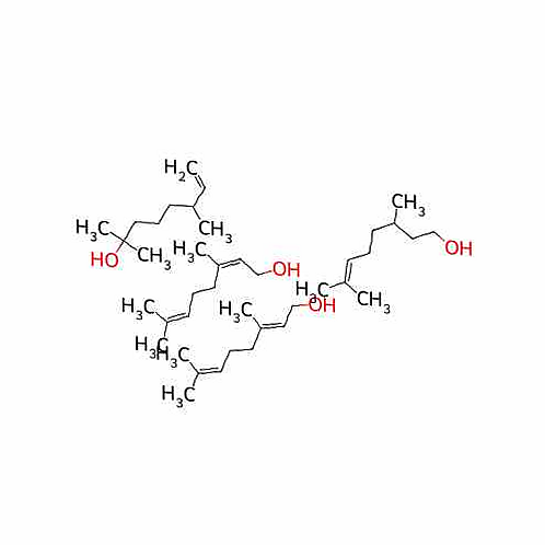 C=CC(C)CCCC(C)(C)O.CC(C)=CCC/C(C)=C/CO.CC(C)=CCC/C(C)=C\CO.CC(C)=CCCC(C)CCO